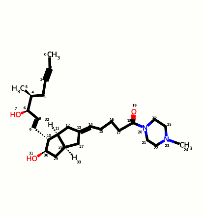 CC#CC[C@H](C)[C@H](O)C=C[C@@H]1[C@H]2CC(=CCCCC(=O)N3CCN(C)CC3)C[C@H]2C[C@H]1O